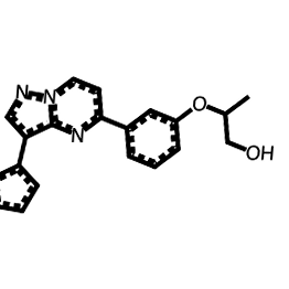 CC(CO)Oc1cccc(-c2ccn3ncc(-c4cccs4)c3n2)c1